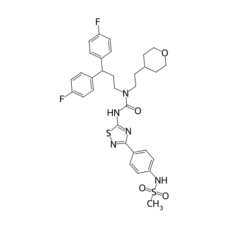 CS(=O)(=O)Nc1ccc(-c2nsc(NC(=O)N(CCC3CCOCC3)CCC(c3ccc(F)cc3)c3ccc(F)cc3)n2)cc1